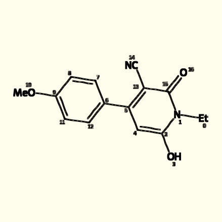 CCn1c(O)cc(-c2ccc(OC)cc2)c(C#N)c1=O